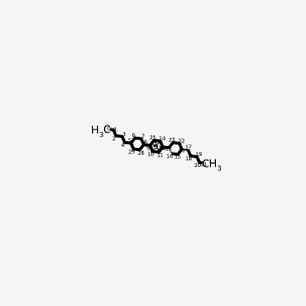 CCCCCC1CCC(C23CCC([C@H]4CC[C@H](CCCCC)CC4)(CC2)CC3)CC1